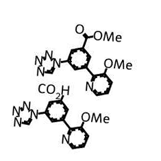 COC(=O)c1cc(-c2ncccc2OC)cc(-n2cnnn2)c1.COc1cccnc1-c1cc(C(=O)O)cc(-n2cnnn2)c1